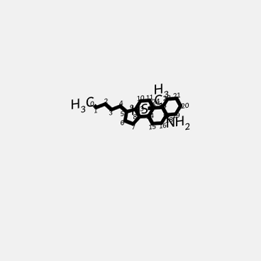 CCCCCC1CCC2C1CCC1(S)C2CCC2(N)CCCCC21C